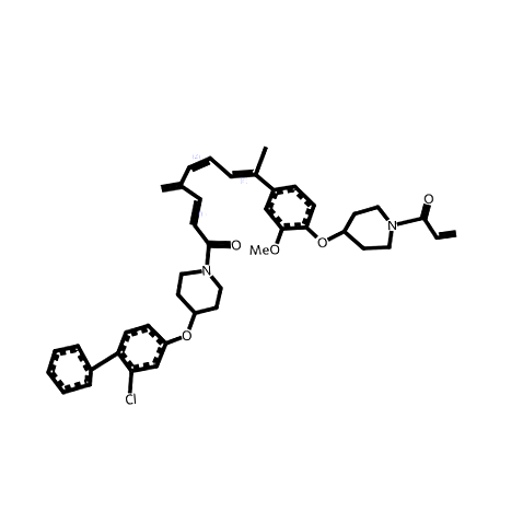 C=CC(=O)N1CCC(Oc2ccc(/C(C)=C/C=C\C(=C)/C=C/C(=O)N3CCC(Oc4ccc(-c5ccccc5)c(Cl)c4)CC3)cc2OC)CC1